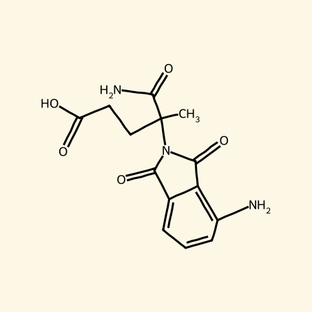 CC(CCC(=O)O)(C(N)=O)N1C(=O)c2cccc(N)c2C1=O